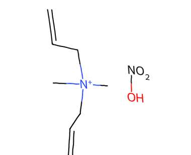 C=CC[N+](C)(C)CC=C.O=[N+]([O-])O